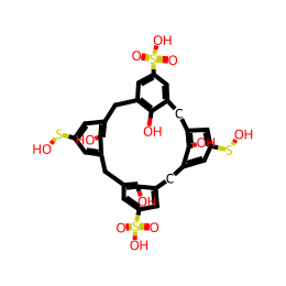 O=S(=O)(O)c1cc2c(O)c(c1)Cc1cc(SO)cc(c1O)Cc1cc(S(=O)(=O)O)cc(c1O)Cc1cc(SO)cc(c1O)C2